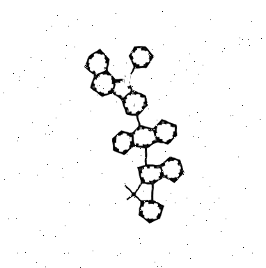 CC1(C)c2ccccc2-c2c1cc(-c1c3ccccc3c(-c3ccc4c(c3)c3ccc5ccccc5c3n4-c3ccccc3)c3ccccc13)c1ccccc21